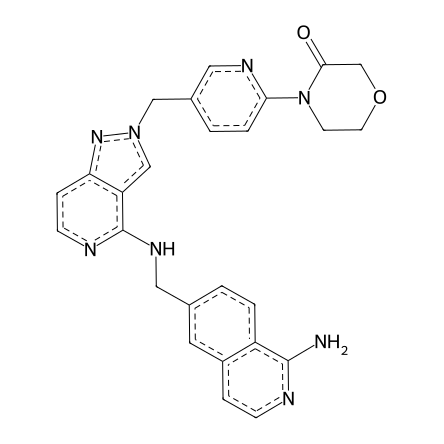 Nc1nccc2cc(CNc3nccc4nn(Cc5ccc(N6CCOCC6=O)nc5)cc34)ccc12